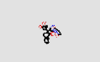 COc1ccc(C2C(C#N)=C(N3C(=O)CCC3=O)OC3=C2CCc2ccccc23)cc1OC